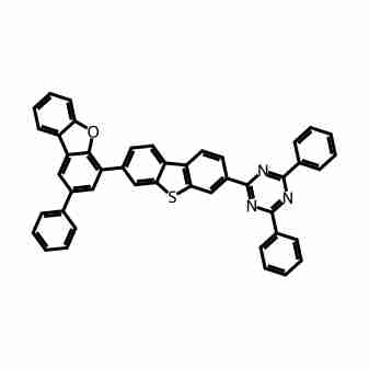 c1ccc(-c2cc(-c3ccc4c(c3)sc3cc(-c5nc(-c6ccccc6)nc(-c6ccccc6)n5)ccc34)c3oc4ccccc4c3c2)cc1